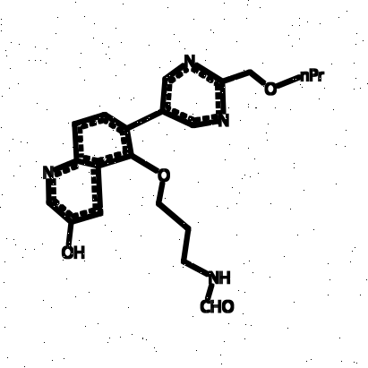 CCCOCc1ncc(-c2ccc3ncc(O)cc3c2OCCCNC=O)cn1